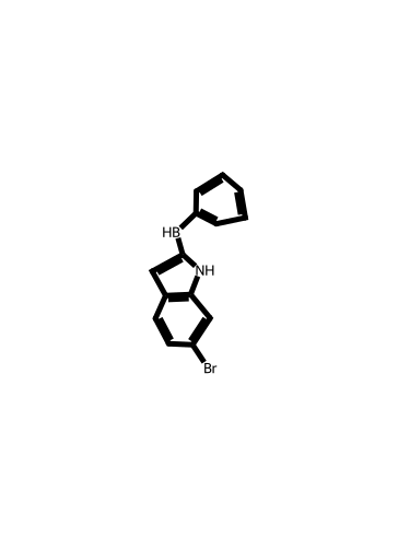 Brc1ccc2cc(Bc3ccccc3)[nH]c2c1